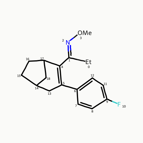 CCC(=NOC)C1=C(c2ccc(F)cc2)CC2CCC1C2